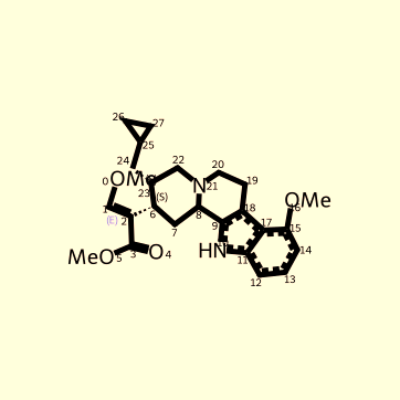 CO/C=C(/C(=O)OC)[C@H]1CC2c3[nH]c4cccc(OC)c4c3CCN2C[C@H]1CC1CC1